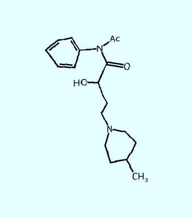 CC(=O)N(C(=O)C(O)CCN1CCC(C)CC1)c1ccccc1